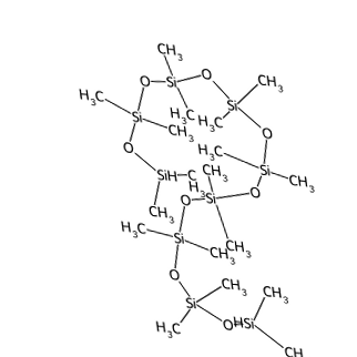 C[SiH](C)O[Si](C)(C)O[Si](C)(C)O[Si](C)(C)O[Si](C)(C)O[Si](C)(C)O[Si](C)(C)O[Si](C)(C)O[SiH](C)C